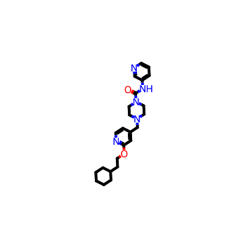 O=C(Nc1cccnc1)N1CCN(Cc2ccnc(OCCC3CCCCC3)c2)CC1